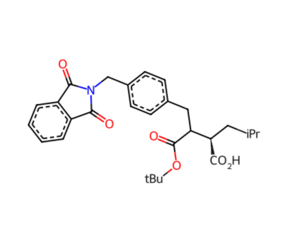 CC(C)C[C@@H](C(=O)O)C(Cc1ccc(CN2C(=O)c3ccccc3C2=O)cc1)C(=O)OC(C)(C)C